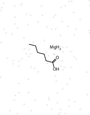 CCCCCC(=O)O.[MgH2]